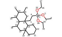 CCO[Si](CCC12CC(C)C(C)C(C)C1C(C)CC1(C)CCCCC12)(OCC)OCC